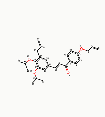 C=CCOc1ccc(C(=O)C=Cc2cc(CC=C)c(OC(C)C)c(OC(C)C)c2)cc1